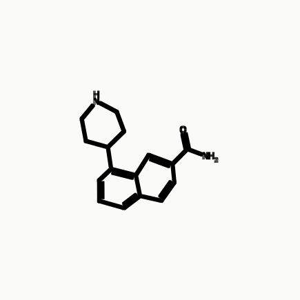 NC(=O)c1ccc2cccc(C3CCNCC3)c2c1